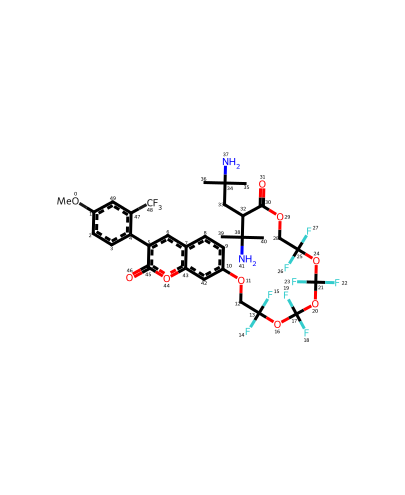 COc1ccc(-c2cc3ccc(OCC(F)(F)OC(F)(F)OC(F)(F)OC(F)(F)COC(=O)C(CC(C)(C)N)C(C)(C)N)cc3oc2=O)c(C(F)(F)F)c1